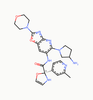 Cc1cc([C@]2(C(=O)Nc3cc4oc(N5CCOCC5)nc4nc3N3CCC(N)C3)NC=CO2)ccn1